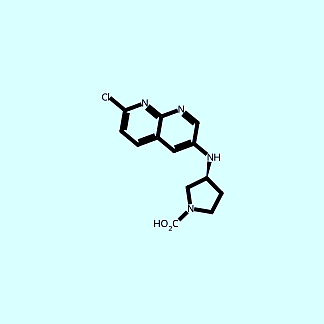 O=C(O)N1CC[C@H](Nc2cnc3nc(Cl)ccc3c2)C1